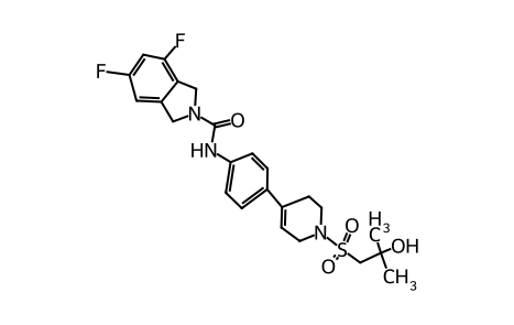 CC(C)(O)CS(=O)(=O)N1CC=C(c2ccc(NC(=O)N3Cc4cc(F)cc(F)c4C3)cc2)CC1